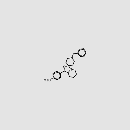 COc1ccc(C2OC3(CCN(Cc4ccccc4)CC3)N3CCCCC23)cc1